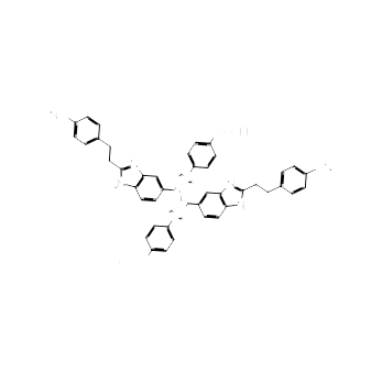 CCOC(=O)c1ccc(S(=O)(=O)N(c2ccc3c(c2)nc(CCc2ccc(C#N)cc2)n3C)N(c2ccc3c(c2)nc(CCc2ccc(C#N)cc2)n3C)S(=O)(=O)c2ccc(C(=O)O)cc2)cc1